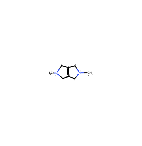 CN1CC2=C(C1)CN(C)C2